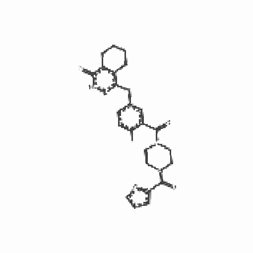 O=C(c1ccco1)N1CCN(C(=O)c2cc(Cc3n[nH]c(=O)c4c3CCCC4)ccc2F)CC1